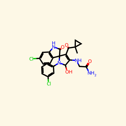 CC1(C(=O)C2=C(NCC(N)=O)C(O)N(c3cccc(Cl)c3)C23C(=O)Nc2cc(Cl)ccc23)CC1